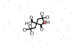 O=C(O)C(CC(Cl)(Cl)Cl)(CC(Cl)(Cl)Cl)C(=O)O